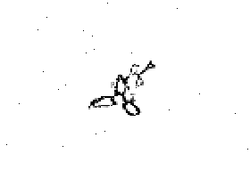 O=C(Nc1cnc(-c2ccncc2)c(-c2ccccc2F)n1)C1CC1